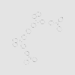 c1ccc(N(c2ccccc2)c2ccc(-c3ccc(N(c4ccc(-c5ccc(-c6ccc(N(c7ccc(-c8ccc(N(c9ccccc9)c9ccccc9)cc8)cc7)c7cccc8ccccc78)cc6)cc5)cc4)c4cccc5ccccc45)cc3)cc2)cc1